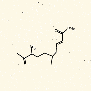 C=C(C)C(N)CCC(C)C/C=C/C(=O)OC